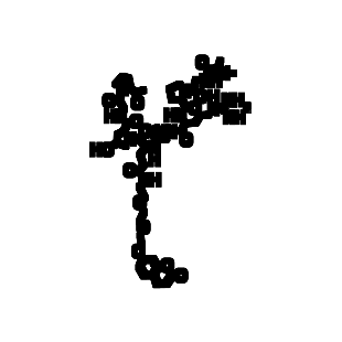 CNC(C)C(=O)NCC(=O)N1CCCC1C(=O)NC(CCCNC(=N)N)C(=O)NCC(=O)NC(CCC(=O)NCCOCCOCCOc1ccc2ccc(=O)oc2c1)C(=O)N1CC(O)CC1C(=O)NCC(=O)N1CCCC1C(C)=O